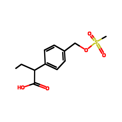 CCC(C(=O)O)c1ccc(COS(C)(=O)=O)cc1